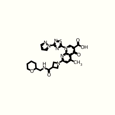 Cc1cc(N2CC(C(=O)NCC3CCCCO3)C2)nc2c1c(=O)c(C(=O)O)cn2-c1nc(-n2cccn2)ns1